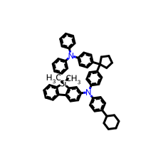 C[Si]1(C)c2ccccc2-c2ccc(N(c3ccc(C4CCCCC4)cc3)c3ccc(C4(c5ccc(N(c6ccccc6)c6ccccc6)cc5)CCCC4)cc3)cc21